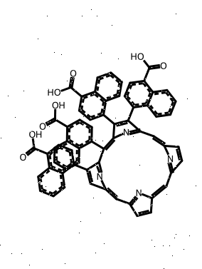 O=C(O)c1ccc(C2=CC3=CC4=NC(=CC5=NC(=CC6=NC(=C(c7ccc(C(=O)O)c8ccccc78)C2=N3)C(c2ccc(C(=O)O)c3ccccc23)=C6c2ccc(C(=O)O)c3ccccc23)C=C5)C=C4)c2ccccc12